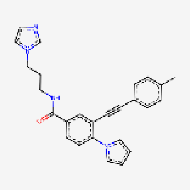 Cc1ccc(C#Cc2cc(C(=O)NCCCn3ccnc3)ccc2-n2cccc2)cc1